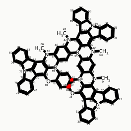 CN1c2cc3c(cc2B2c4ccccc4Oc4c2c1c1c2ccccc2n2c5ccccc5c4c12)B1c2cc4c(cc2N(C)c2c1c(c1c5ccccc5n5c6ccccc6c2c15)N3C)N(C)c1c2c(c3c5ccccc5n5c6ccccc6c1c35)Oc1ccccc1B42